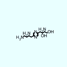 NCC[C@@H](N)Cc1cnc(C[C@H](O)[C@H](N)CO)cn1